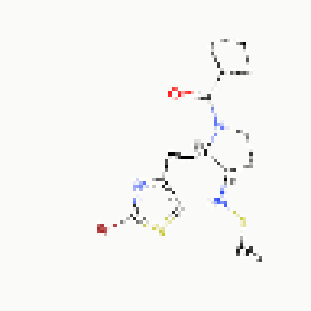 CSN[C@@H]1CCN(C(=O)C2CCC2)[C@@H]1Cc1csc(Br)n1